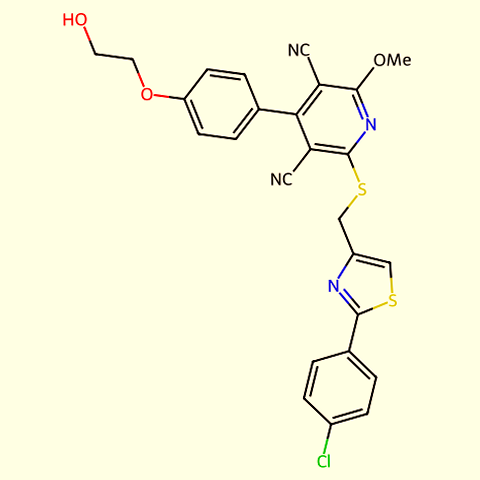 COc1nc(SCc2csc(-c3ccc(Cl)cc3)n2)c(C#N)c(-c2ccc(OCCO)cc2)c1C#N